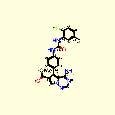 COC(=O)c1cn2ncnc(N)c2c1-c1ccc(NC(=O)Nc2cc(C)ccc2F)cc1